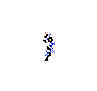 CC(C)N1c2cc(Nc3nccc(Nc4cc(C5CC5)nn4C)n3)ccc2N(C)C(=O)C1C